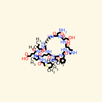 C=CCC(C)C(N)C1=NC(C(=O)NC2CC(C)N(C(CCC(=O)O)C(=O)NC(C(=O)NC3CCCCNC(=O)C(CC(N)=O)NC(=O)C(CC(=O)O)NC(=O)C(Cc4c[nH]cn4)NC(=O)C(Cc4ccccc4)NC(=O)C(C(C)CC)NC(=O)C(CCCN)NC3=O)C(C)CC)C2=O)CS1